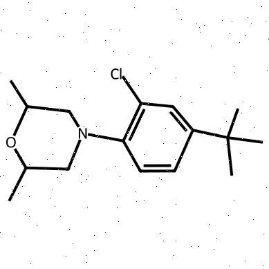 CC1CN(c2ccc(C(C)(C)C)cc2Cl)CC(C)O1